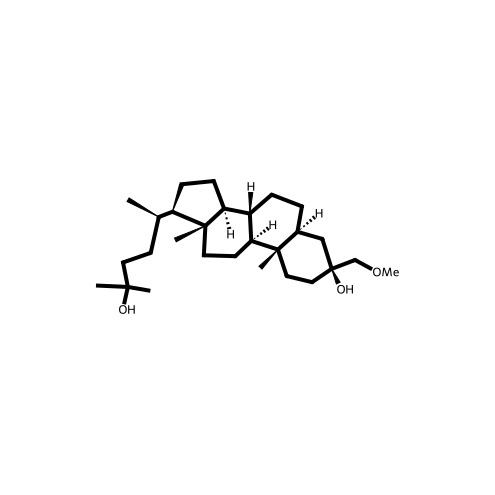 COC[C@]1(O)CC[C@@]2(C)[C@@H](CC[C@@H]3[C@@H]2CC[C@]2(C)[C@@H]([C@H](C)CCC(C)(C)O)CC[C@@H]32)C1